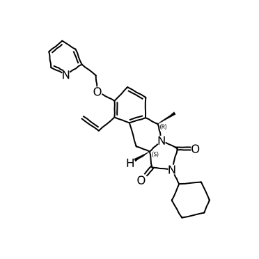 C=Cc1c(OCc2ccccn2)ccc2c1C[C@H]1C(=O)N(C3CCCCC3)C(=O)N1[C@@H]2C